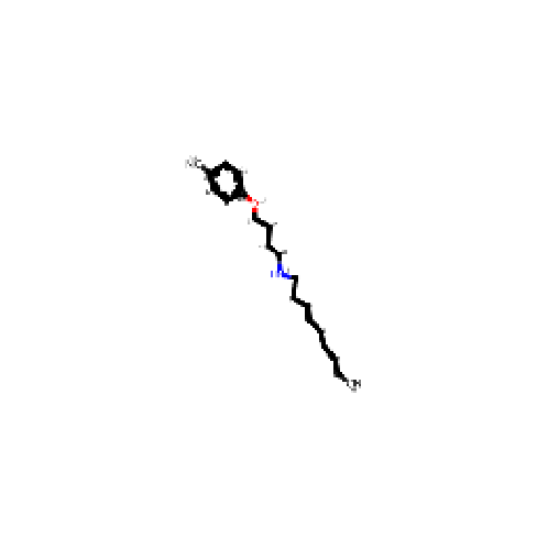 N#CCCCCCCCCNCCCCOc1ccc(C#N)cc1